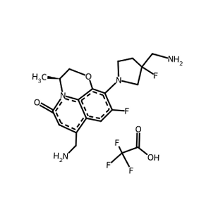 C[C@H]1COc2c(N3CCC(F)(CN)C3)c(F)cc3c(CN)cc(=O)n1c23.O=C(O)C(F)(F)F